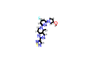 COC1CCN(c2cc(F)cc(N3CCc4nc(-c5cnsn5)ncc4C3C)n2)C1